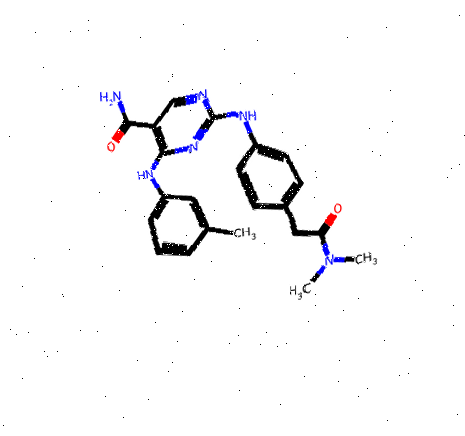 Cc1cccc(Nc2nc(Nc3ccc(CC(=O)N(C)C)cc3)ncc2C(N)=O)c1